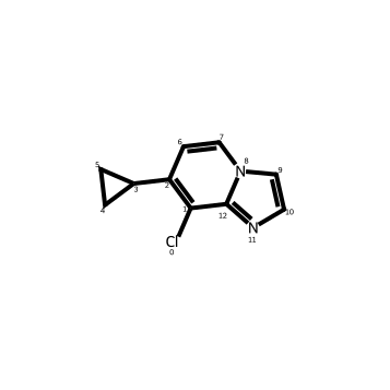 Clc1c(C2CC2)ccn2ccnc12